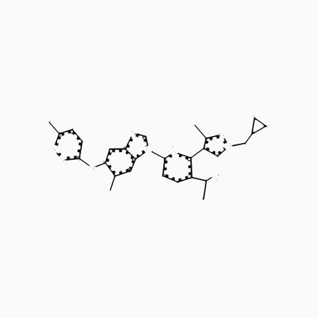 Cc1ccc(Nc2cc3ncn(-c4ccc(C(C)O)c(-c5cn(CC6CC6)nc5C)n4)c3cc2F)nn1